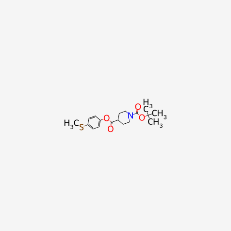 CSc1ccc(OC(=O)C2CCN(C(=O)OC(C)(C)C)CC2)cc1